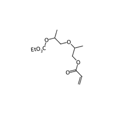 C=CC(=O)OCC(C)OCC(C)OC(=O)OCC